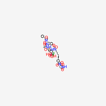 CC(C)(C)C(NC(=O)c1cc2cc(C(F)(F)P(=O)(O)O)ccc2s1)C(=O)N1Cc2cc(OCC(=O)NCCCCCC#Cc3ccc4c(c3)C(=O)N(C3CCC(=O)NC3=O)C4=O)ccc2C[C@H]1C(=O)N1CCO[C@H](c2ccccc2)C1